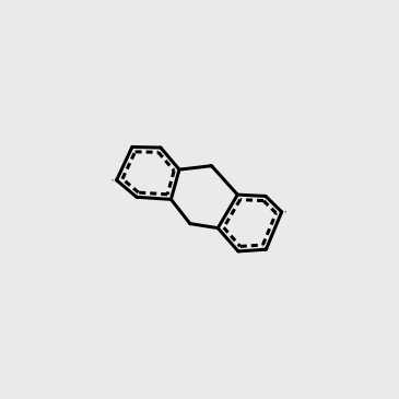 [c]1ccc2c(c1)Cc1cc[c]cc1C2